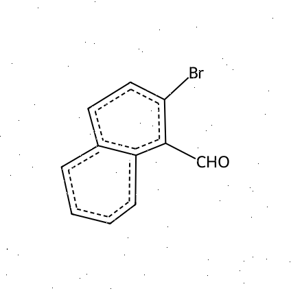 O=Cc1c(Br)ccc2ccccc12